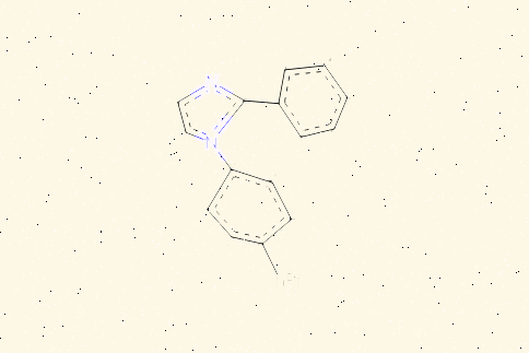 CCCc1ccc(-n2ccnc2-c2ccccc2)cc1